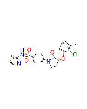 Cc1cccc(O[C@H]2CCN(c3ccc(S(=O)(=O)Nc4nccs4)cc3)C2=O)c1Cl